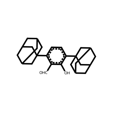 O=Cc1c(C23CC4CC(CC(C4)C2)C3)ccc(C23CC4CC(CC(C4)C2)C3)c1O